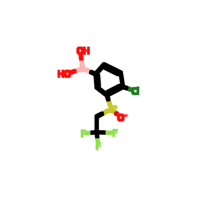 [O-][S+](CC(F)(F)F)c1cc(B(O)O)ccc1Cl